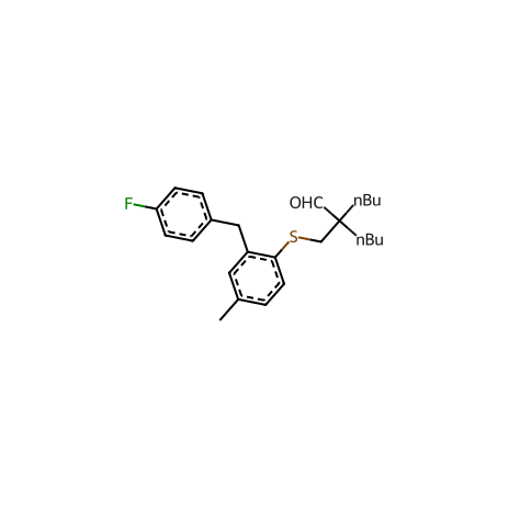 CCCCC(C=O)(CCCC)CSc1ccc(C)cc1Cc1ccc(F)cc1